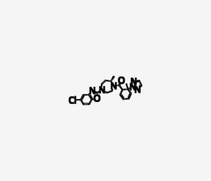 C[C@@H]1CCN(c2nc3cc(Cl)ccc3o2)CCN1C(=O)C1C=CC=CC1(C)n1nccn1